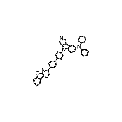 c1ccc(N(c2ccccc2)c2ccc3c(c2)c2cnccc2n3-c2ccc(-c3ccc(-c4ccc5c(n4)oc4ccccc45)cc3)cc2)cc1